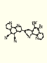 N#Cc1c(C#N)c2cc(-c3cnc4c(c3)c(Br)c(Br)c3cccnc34)cnc2c2ncccc12